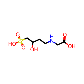 O=C(O)CNCCC(O)CS(=O)(=O)O